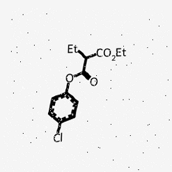 CCOC(=O)C(CC)C(=O)Oc1ccc(Cl)cc1